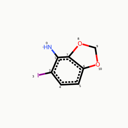 [NH]c1c(I)ccc2c1OCO2